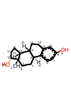 C[C@]12CC[C@@H]3c4ccc(O)cc4CC[C@H]3[C@H]1CC[C@H]2O